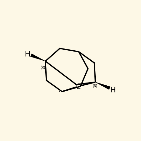 C1CC2C[C@H]3C[C]1C[C@@H](C2)C3